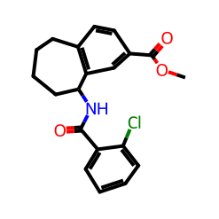 COC(=O)c1ccc2c(c1)C(NC(=O)c1ccccc1Cl)CCCC2